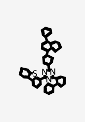 c1ccc(-c2ccccc2-c2nc(-c3ccc(-c4ccc(-c5ccccc5)c5ccccc45)cc3)nc(-c3cccc4c3sc3ccccc34)n2)cc1